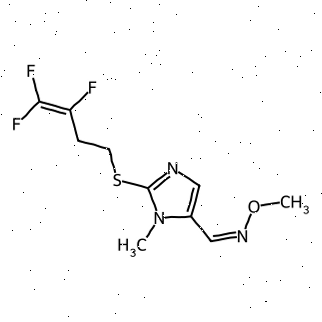 CO/N=C\c1cnc(SCCC(F)=C(F)F)n1C